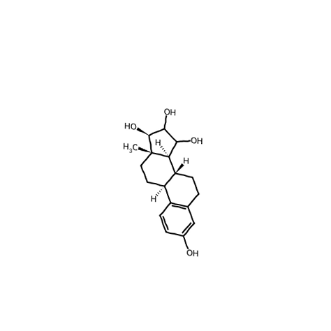 C[C@]12CC[C@@H]3c4ccc(O)cc4CC[C@H]3[C@@H]1C(O)C(O)[C@@H]2O